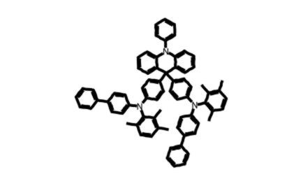 Cc1ccc(C)c(N(c2ccc(-c3ccccc3)cc2)c2ccc(C3(c4ccc(N(c5ccc(-c6ccccc6)cc5)c5c(C)ccc(C)c5C)cc4)c4ccccc4N(c4ccccc4)c4ccccc43)cc2)c1C